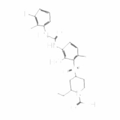 CCC1CC(S(=O)(=O)c2c(Cl)ccc(NC(=O)Nc3cccc(F)c3C)c2O)CCN1C(=O)O